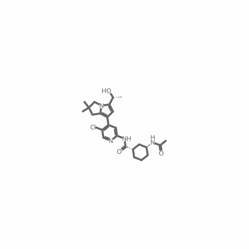 CC(=O)N[C@@H]1CCC[C@H](C(=O)Nc2cc(-c3cc([C@@H](C)O)n4c3CC(C)(C)C4)c(Cl)cn2)C1